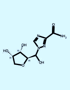 NC(=O)c1ncn(C(O)[C@H]2OC[C@H](O)[C@@H]2O)n1